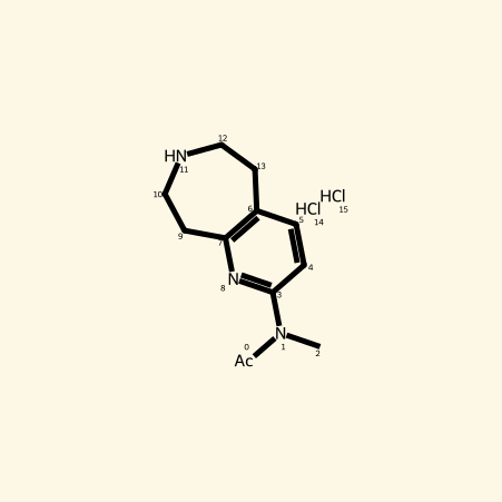 CC(=O)N(C)c1ccc2c(n1)CCNCC2.Cl.Cl